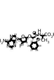 CC(NP(=O)(COC1C=C(F)C(n2cnc3c(N)ncnc32)O1)Oc1ccccc1)C(=O)O